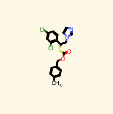 Cc1ccc(COC(=O)SC(Cn2ccnc2)c2ccc(Cl)cc2Cl)cc1